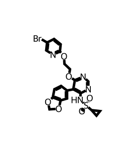 O=S(=O)(Nc1ncnc(OCCOc2ccc(Br)cn2)c1-c1ccc2c(c1)OCO2)C1CC1